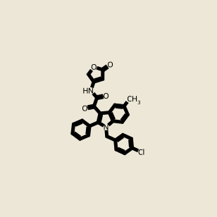 Cc1ccc2c(c1)c(C(=O)C(=O)NC1=CC(=O)OC1)c(-c1ccccc1)n2Cc1ccc(Cl)cc1